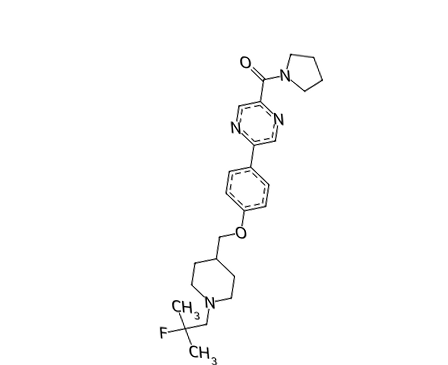 CC(C)(F)CN1CCC(COc2ccc(-c3cnc(C(=O)N4CCCC4)cn3)cc2)CC1